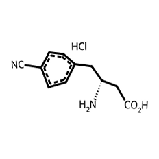 Cl.N#Cc1ccc(C[C@@H](N)CC(=O)O)cc1